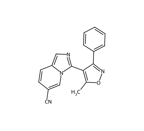 Cc1onc(-c2ccccc2)c1-c1ncc2ccc(C#N)cn12